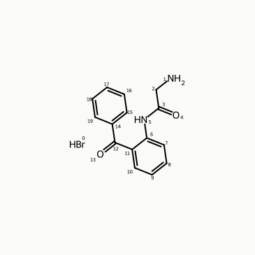 Br.NCC(=O)Nc1ccccc1C(=O)c1ccccc1